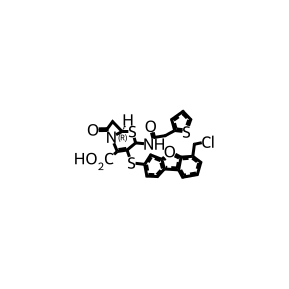 O=C(Cc1cccs1)NC1S[C@@H]2CC(=O)N2C(C(=O)O)=C1Sc1ccc2c(c1)oc1c(CCl)cccc12